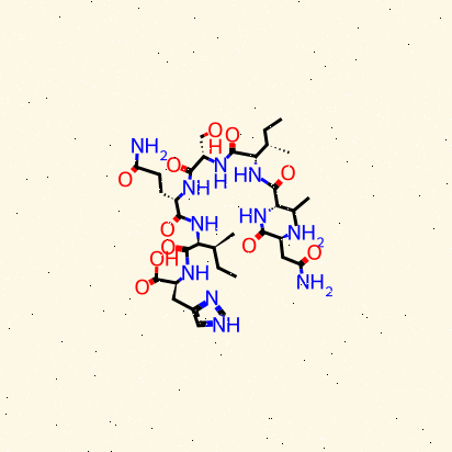 CC[C@H](C)[C@H](NC(=O)[C@H](CCC(N)=O)NC(=O)[C@H](CO)NC(=O)[C@@H](NC(=O)[C@@H](NC(=O)[C@@H](N)CC(N)=O)C(C)C)[C@@H](C)CC)C(=O)N[C@@H](Cc1c[nH]cn1)C(=O)O